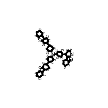 c1ccc2c(c1)oc1nccc(-c3ccc(N(c4ccc(-c5ccc6c(c5)sc5ccccc56)cc4)c4ccc(-c5ccc6c(c5)sc5ccccc56)cc4)cc3)c12